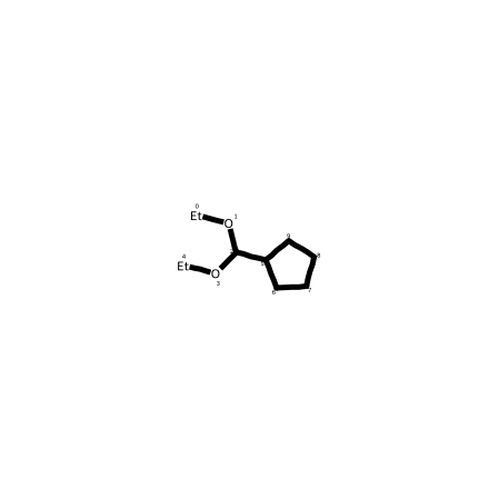 CCOC(OCC)C1CCCC1